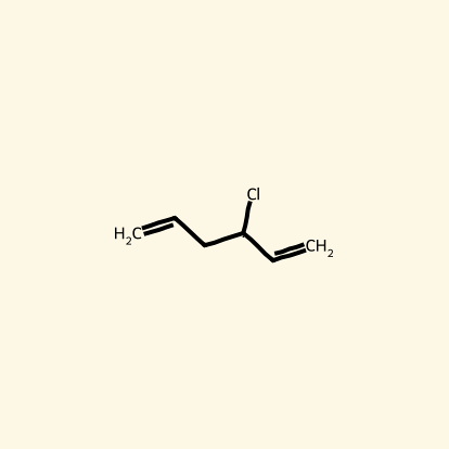 C=CC[C](Cl)C=C